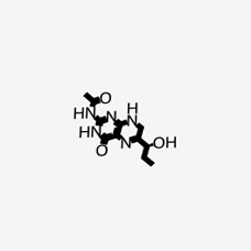 CC[C@H](O)C1=Nc2c(nc(NC(C)=O)[nH]c2=O)NC1